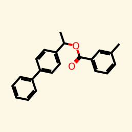 Cc1cccc(C(=O)OC(C)c2ccc(-c3ccccc3)cc2)c1